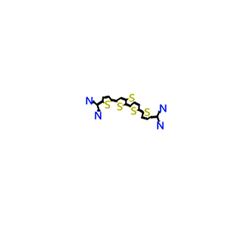 N#CC(C#N)=c1cc/c(=c2\cc3sc4c/c(=c5/ccc(=C(C#N)C#N)s5)sc4c3s2)s1